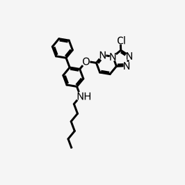 CCCCCCNc1ccc(-c2ccccc2)c(Oc2ccc3nnc(Cl)n3n2)c1